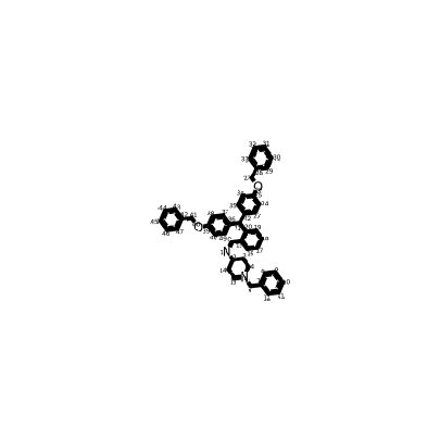 C(=N/C1CCN(Cc2ccccc2)CC1)/c1ccccc1C(c1ccc(OCc2ccccc2)cc1)c1ccc(OCc2ccccc2)cc1